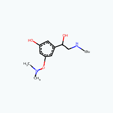 CN(C)Oc1cc(O)cc(C(O)CNC(C)(C)C)c1